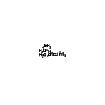 O.O.O.[Cd].[InH3].[InH3]